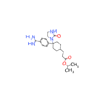 CC(C)OC(=O)CCC1CCC(c2ccc(C(=N)N)cc2)(N2CCNC2=O)CC1